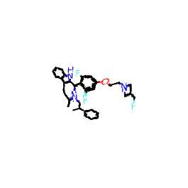 CC(CN1C(C)Cc2c([nH]c3ccccc23)C1c1c(F)cc(OCCN2CC(CF)C2)cc1F)c1ccccc1